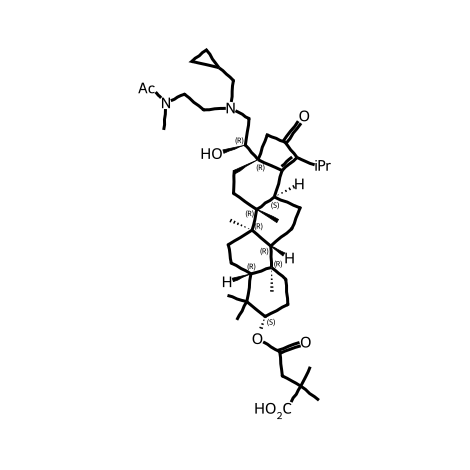 CC(=O)N(C)CCN(CC1CC1)C[C@H](O)[C@@]12CC[C@]3(C)[C@H](CC[C@@H]4[C@@]5(C)CC[C@H](OC(=O)CC(C)(C)C(=O)O)C(C)(C)[C@@H]5CC[C@]43C)C1=C(C(C)C)C(=O)C2